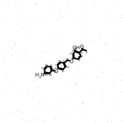 CC(=O)c1ccc(OCc2ccc(Oc3cccc(N)c3)cc2)cc1O